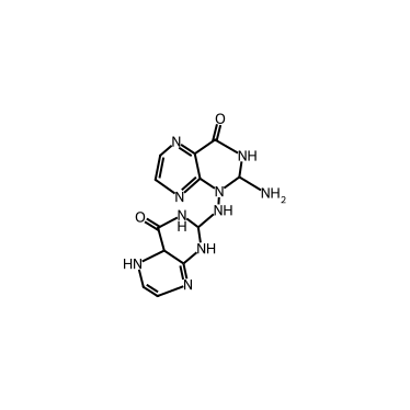 NC1NC(=O)c2nccnc2N1NC1NC(=O)C2NC=CN=C2N1